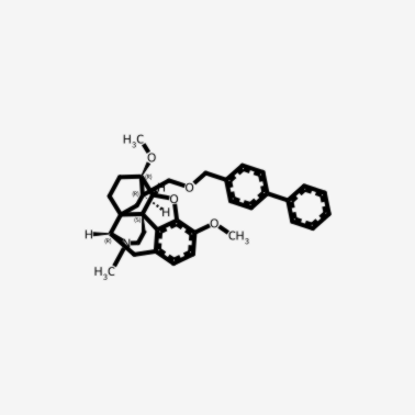 COc1ccc2c3c1O[C@H]1[C@@]4(OC)CCC5(C[C@@H]4COCc4ccc(-c6ccccc6)cc4)[C@@H](C2)N(C)CC[C@]315